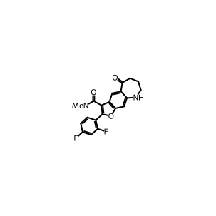 CNC(=O)c1c(-c2ccc(F)cc2F)oc2cc3c(cc12)C(=O)CCCN3